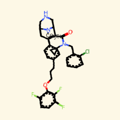 CCOC(=O)N1C2CNCC1C(C(=O)N(Cc1ccccc1Cl)C1CC1)=C(c1ccc(CCCOc3c(F)ccc(F)c3F)cc1)C2